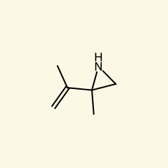 C=C(C)C1(C)CN1